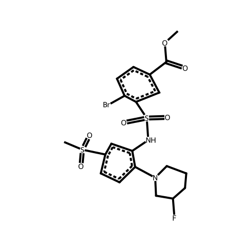 COC(=O)c1ccc(Br)c(S(=O)(=O)Nc2cc(S(C)(=O)=O)ccc2N2CCCC(F)C2)c1